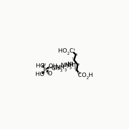 N.N.N.N.N.O=C(O)CCCCC(=O)O.O=P(O)(O)O